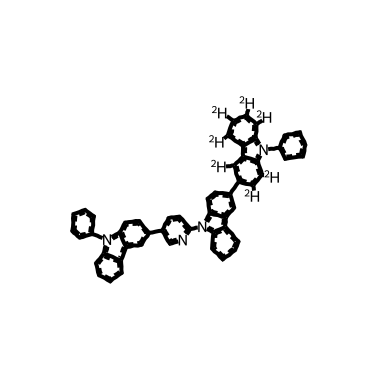 [2H]c1c([2H])c([2H])c2c(c1[2H])c1c([2H])c(-c3ccc4c(c3)c3ccccc3n4-c3ccc(-c4ccc5c(c4)c4ccccc4n5-c4ccccc4)cn3)c([2H])c([2H])c1n2-c1ccccc1